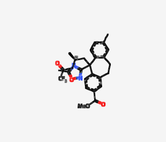 COC(=O)c1ccc2c(c1)CCc1cc(C)ccc1C2(C[C@H](C)CC(=O)C(F)(F)F)c1noc(C)n1